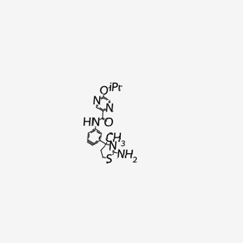 CC(C)Oc1cnc(C(=O)Nc2cc#cc(C3(C)CCSC(N)=N3)c2)cn1